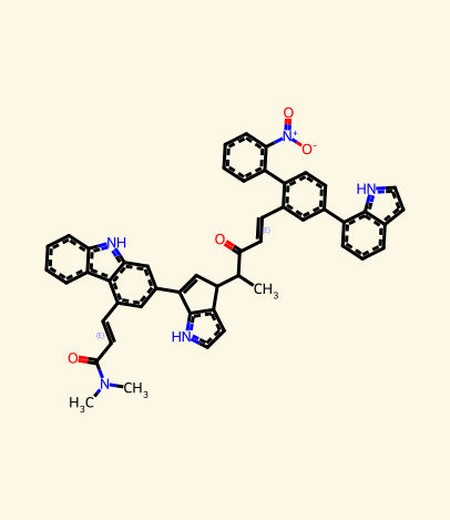 CC(C(=O)/C=C/c1cc(-c2cccc3cc[nH]c23)ccc1-c1ccccc1[N+](=O)[O-])C1C=C(c2cc(/C=C/C(=O)N(C)C)c3c(c2)[nH]c2ccccc23)c2[nH]ccc21